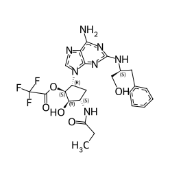 CCC(=O)N[C@H]1C[C@@H](n2cnc3c(N)nc(N[C@H](CO)Cc4ccccc4)nc32)[C@H](OC(=O)C(F)(F)F)[C@@H]1O